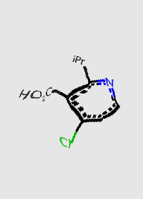 CC(C)c1nccc(Cl)c1C(=O)O